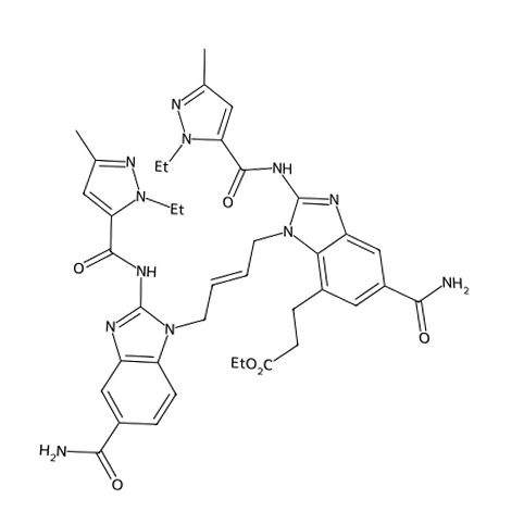 CCOC(=O)CCc1cc(C(N)=O)cc2nc(NC(=O)c3cc(C)nn3CC)n(C/C=C/Cn3c(NC(=O)c4cc(C)nn4CC)nc4cc(C(N)=O)ccc43)c12